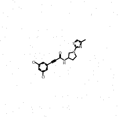 Cc1csc(N2CCC(NC(=O)C#Cc3cc(Cl)cc(Cl)c3)C2)n1